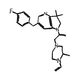 C=CN1CCN(CC(=C)N2CC(C)(C)c3ncc(Cc4ccc(F)cc4)cc32)CC1C